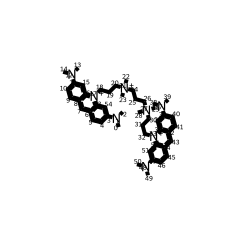 CN(C)c1ccc2cc3ccc(N(C)C)cc3[n+](CCC[N+](C)(C)CCC[N+](C)(C)CCC[n+]3c4cc(N(C)C)ccc4cc4ccc(N(C)C)cc43)c2c1